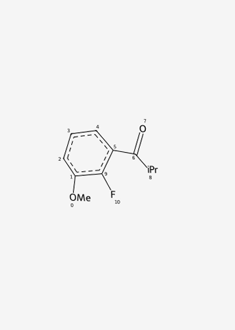 COc1cccc(C(=O)C(C)C)c1F